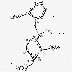 COc1ccccc1C[S+]([O-])c1ccc(C(=O)O)cc1OC